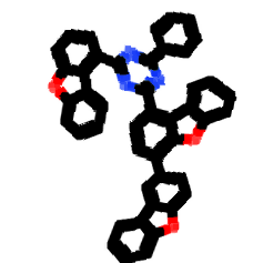 c1ccc(-c2nc(-c3cccc4oc5ccccc5c34)nc(-c3ccc(-c4ccc5oc6ccccc6c5c4)c4oc5ccccc5c34)n2)cc1